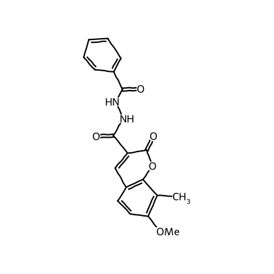 COc1ccc2cc(C(=O)NNC(=O)c3ccccc3)c(=O)oc2c1C